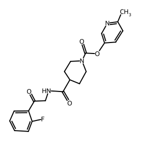 Cc1ccc(OC(=O)N2CCC(C(=O)NCC(=O)c3ccccc3F)CC2)cn1